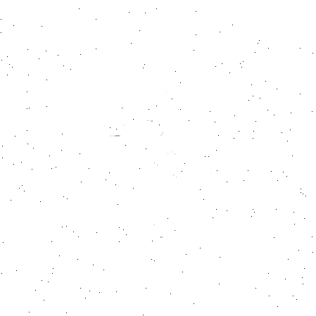 Cc1cccc(-c2cc(-c3cccc(C)c3)cc(-c3nc(-c4ccccc4)nc(-c4cc(-c5cccc(C)c5)cc(-c5cccc(C)c5)c4)n3)c2)c1